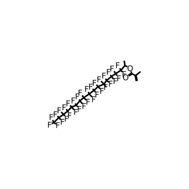 C=C(C)C(=O)OC(C)C(F)(F)C(F)(F)C(F)(F)C(F)(F)C(F)(F)C(F)(F)C(F)(F)C(F)(F)C(F)(F)C(F)(F)C(F)(F)C(F)(F)C(F)(F)C(F)(F)C(F)(F)C(F)(F)F